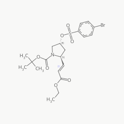 CCOC(=O)/C=C/[C@@H]1C[C@@H](OS(=O)(=O)c2ccc(Br)cc2)CN1C(=O)OC(C)(C)C